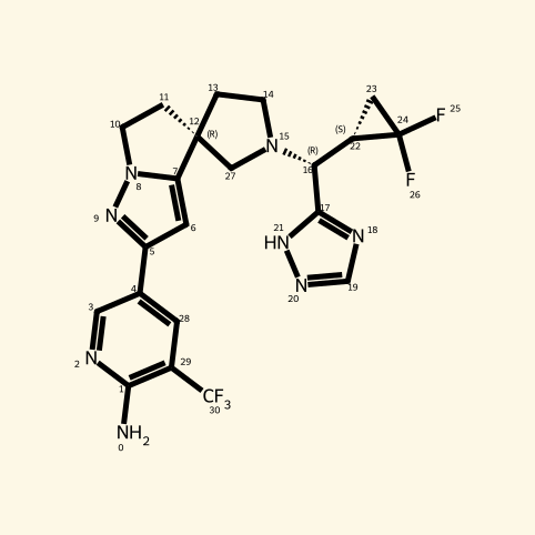 Nc1ncc(-c2cc3n(n2)CC[C@@]32CCN([C@@H](c3ncn[nH]3)[C@@H]3CC3(F)F)C2)cc1C(F)(F)F